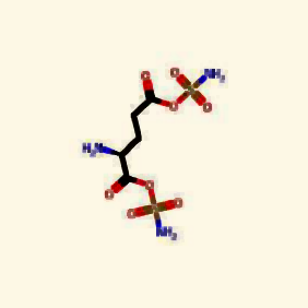 N[C@@H](CCC(=O)OS(N)(=O)=O)C(=O)OS(N)(=O)=O